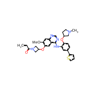 C=CC(=O)N1CC(Oc2cc3c(Nc4cc(-c5cccs5)ccc4OC4CCN(C)C4)ncnc3cc2OC)C1